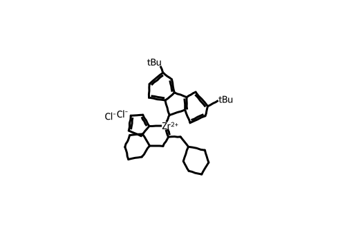 CC(C)(C)c1ccc2c(c1)-c1cc(C(C)(C)C)ccc1[CH]2[Zr+2]([C]1=CC=CC1)=[C](CC1CCCCC1)CC1CCCCC1.[Cl-].[Cl-]